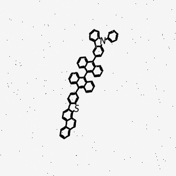 c1ccc(-n2c3ccccc3c3cc(-c4c5ccccc5c(-c5c6ccccc6c(-c6ccc7c(c6)sc6c7ccc7c8ccccc8ccc76)c6ccccc56)c5ccccc45)ccc32)cc1